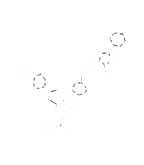 CCC(=O)NCC(Cc1ccc(OCCc2nc(-c3ccccc3)oc2C)cc1)N/C(C)=C\C(=O)c1ccc(C(F)(F)F)cc1